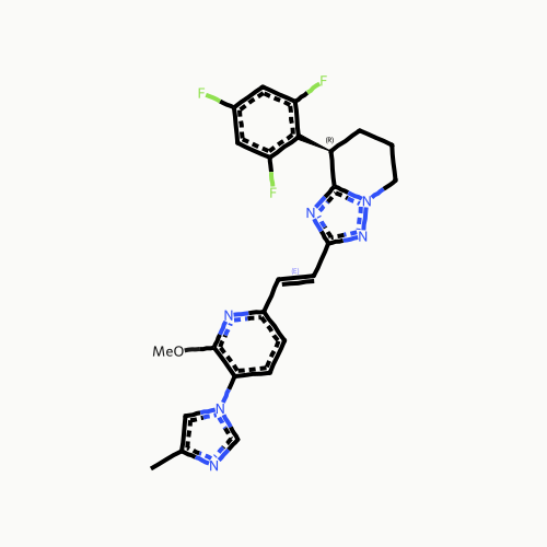 COc1nc(/C=C/c2nc3n(n2)CCC[C@@H]3c2c(F)cc(F)cc2F)ccc1-n1cnc(C)c1